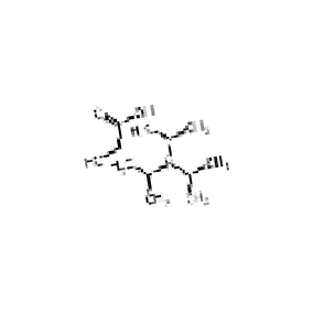 CC(C)N(C(C)C)C(C)C.O=C(O)CO